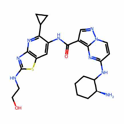 N[C@H]1CCCCC1Nc1ccn2ncc(C(=O)Nc3cc4sc(NCCO)nc4nc3C3CC3)c2n1